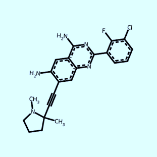 CN1CCCC1(C)C#Cc1cc2nc(-c3cccc(Cl)c3F)nc(N)c2cc1N